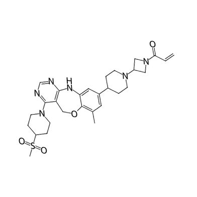 C=CC(=O)N1CC(N2CCC(c3cc(C)c4c(c3)Nc3ncnc(N5CCC(S(C)(=O)=O)CC5)c3CO4)CC2)C1